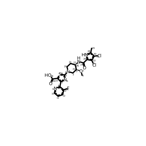 CO[C@H]1CN(c2nc(-c3ncccc3F)c(C(=O)O)s2)CC[C@H]1NC(=O)c1[nH]c(C)c(Cl)c1Cl